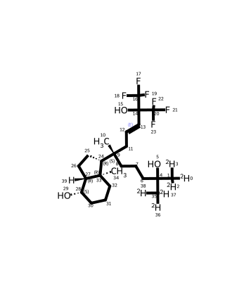 [2H]C([2H])([2H])C(O)(CCC[C@@](C)(C/C=C/C(O)(C(F)(F)F)C(F)(F)F)[C@H]1CC[C@H]2[C@@H](O)CCC[C@]12C)C([2H])([2H])[2H]